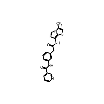 O=C(Cc1cccc(NC(=O)c2cccnc2)c1)Nc1ncn2c(C(F)(F)F)csc12